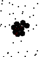 c1ccc([Si](c2ccccc2)(c2ccccc2)c2ccc(-n3c4ccccc4c4cccc(-n5c6ccccc6c6c(-n7c8ccccc8c8ccccc87)cccc65)c43)cc2)cc1